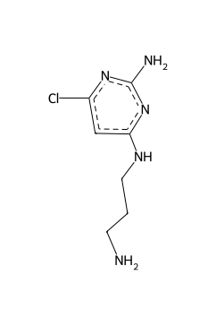 NCCCNc1cc(Cl)nc(N)n1